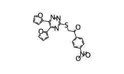 O=C(CSc1nnc(-c2ccco2)c(-c2ccco2)n1)c1ccc([N+](=O)[O-])cc1